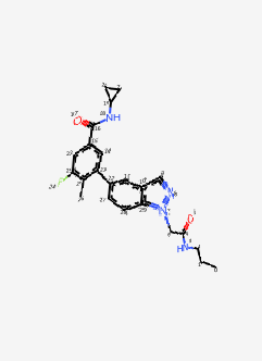 CCCNC(=O)Cn1ncc2cc(-c3cc(C(=O)NC4CC4)cc(F)c3C)ccc21